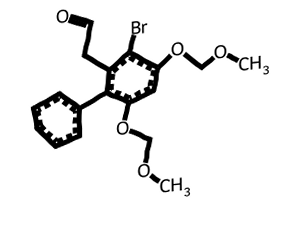 COCOc1cc(OCOC)c(-c2ccccc2)c(CC=O)c1Br